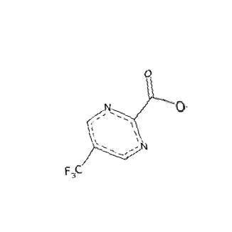 [O]C(=O)c1ncc(C(F)(F)F)cn1